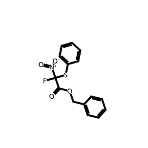 O=C(OCc1ccccc1)C(F)(Sc1ccccc1)[N+](=O)[O-]